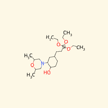 CCO[Si](CCC1CCC(O)C(N2CC(C)OC(C)C2)C1)(OCC)OCC